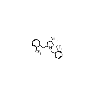 FC(F)(F)c1ccccc1CC1CCCN1Cc1ccccc1C(F)(F)F.N